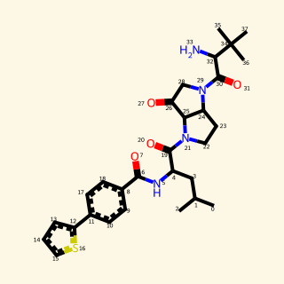 CC(C)CC(NC(=O)c1ccc(-c2cccs2)cc1)C(=O)N1CCC2C1C(=O)CN2C(=O)C(N)C(C)(C)C